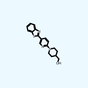 OCC1CCN(c2ccc(-c3nc4ccccc4s3)cn2)CC1